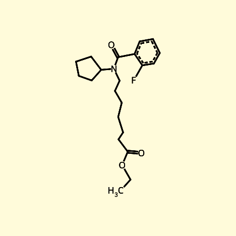 CCOC(=O)CCCCCCN(C(=O)c1ccccc1F)C1CCCC1